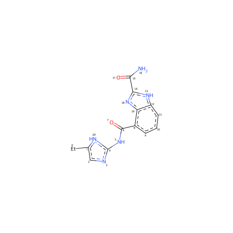 CCc1cnc(NC(=O)c2cccc3[nH]c(C(N)=O)nc23)[nH]1